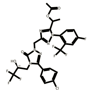 CC(=O)OC(C)c1nc(Cn2nc(-c3ccc(Cl)cc3)n(C[C@H](O)C(F)(F)F)c2=O)nn1-c1ccc(F)cc1C(F)(F)F